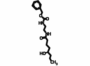 CCC[C@@H](O)CCCC(=O)NCCNC(=O)OCc1ccccc1